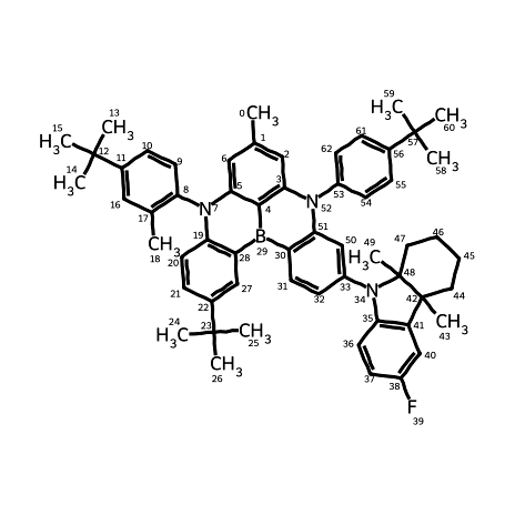 Cc1cc2c3c(c1)N(c1ccc(C(C)(C)C)cc1C)c1ccc(C(C)(C)C)cc1B3c1ccc(N3c4ccc(F)cc4C4(C)CCCCC34C)cc1N2c1ccc(C(C)(C)C)cc1